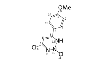 COc1ccc(C2=CC(Cl)=NN(Cl)N2)cc1